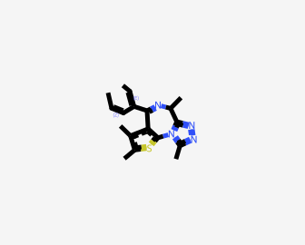 C/C=C\C(=C/C)C1=NC(C)c2nnc(C)n2-c2sc(C)c(C)c21